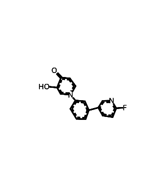 O=c1ccn(-c2cccc(-c3ccc(F)nc3)c2)cc1O